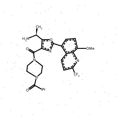 COc1ccc(-c2nc(C(=O)N3CCN(C(=O)C(C)C)CC3)c([C@H](C)N)o2)c2ccc(C(F)(F)F)nc12